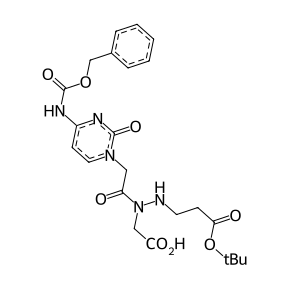 CC(C)(C)OC(=O)CCNN(CC(=O)O)C(=O)Cn1ccc(NC(=O)OCc2ccccc2)nc1=O